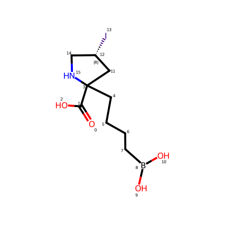 O=C(O)C1(CCCCB(O)O)C[C@@H](I)CN1